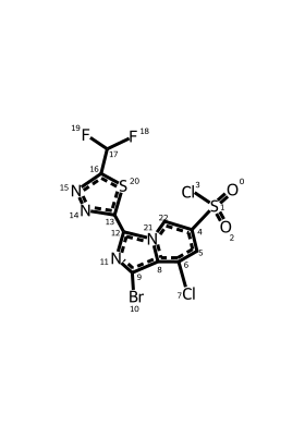 O=S(=O)(Cl)c1cc(Cl)c2c(Br)nc(-c3nnc(C(F)F)s3)n2c1